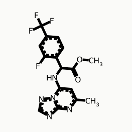 COC(=O)C(Nc1cc(C)nc2ncnn12)c1ccc(C(F)(F)F)cc1F